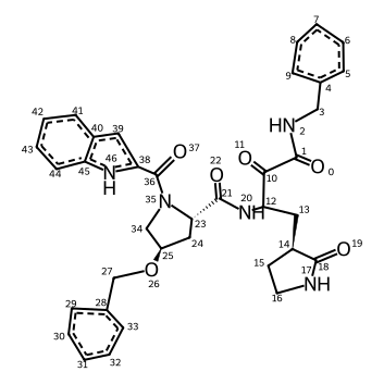 O=C(NCc1ccccc1)C(=O)C(C[C@@H]1CCNC1=O)NC(=O)[C@@H]1C[C@@H](OCc2ccccc2)CN1C(=O)c1cc2ccccc2[nH]1